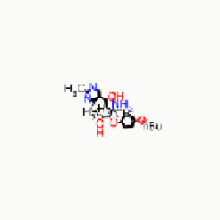 CCCCOc1ccc(OC(C(C)O)C(C)(N)CC(O)c2cnc(C)nc2C)cc1